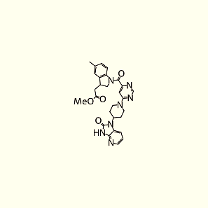 COC(=O)CC1CN(C(=O)c2cc(N3CCC(n4c(=O)[nH]c5ncccc54)CC3)ncn2)c2ccc(C)cc21